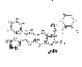 CCCc1c(F)n(C(=O)CC2CCCCC2)c(=O)n1Cc1ccc(-c2ccccc2-c2nnn[nH]2)cc1